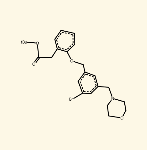 CC(C)(C)OC(=O)Cc1ccccc1OCc1cc(Br)cc(CN2CCOCC2)c1